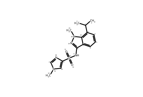 CC(C)c1cccc2c(NS(=O)(=O)c3cn(C)cn3)nn(C)c12